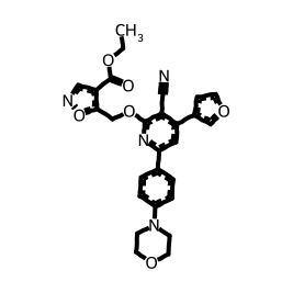 CCOC(=O)c1cnoc1COc1nc(-c2ccc(N3CCOCC3)cc2)cc(-c2ccoc2)c1C#N